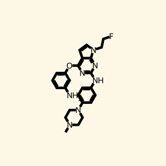 CN1CCN(c2ccc(Nc3nc(Oc4cccc(N)c4)c4ccn(CCF)c4n3)cc2)CC1